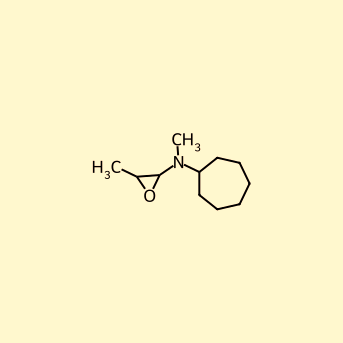 CC1OC1N(C)C1CCCCCC1